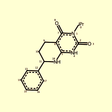 CC(C)n1c(=O)[nH]c2c(c1=O)CCC(c1ccccc1)N2